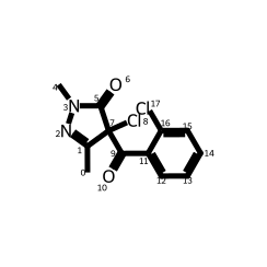 CC1=NN(C)C(=O)C1(Cl)C(=O)c1ccccc1Cl